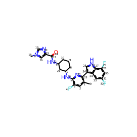 Cc1cc(F)c(N[C@@H]2CCC[C@H](NC(=O)c3cn(C)cn3)C2)nc1-c1c[nH]c2c(F)cc(F)cc12